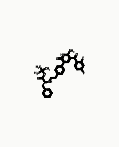 CC(C)(C)OC(=O)[C@H](Cc1ccccc1)NCCc1ccc(-c2cc(C(=O)c3ccc(F)cc3F)c(N)[nH]c2=O)cc1